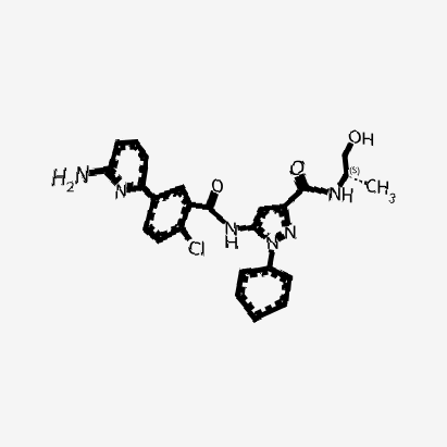 C[C@@H](CO)NC(=O)c1cc(NC(=O)c2cc(-c3cccc(N)n3)ccc2Cl)n(-c2ccccc2)n1